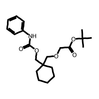 CC(C)(C)OC(=O)COCC1(COC(=O)Nc2ccccc2)CCCCC1